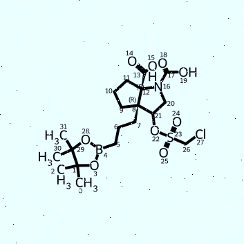 CC1(C)OB(CCC[C@@]23CCC[C@]2(C(=O)O)N(C(=O)O)CC3OS(=O)(=O)CCl)OC1(C)C